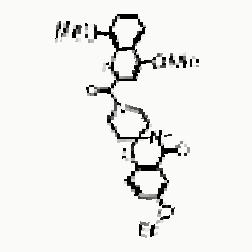 CCOc1ccc2c(c1)C(=O)NC1(CCN(C(=O)c3cc(OC)c4cccc(OC)c4n3)CC1)O2